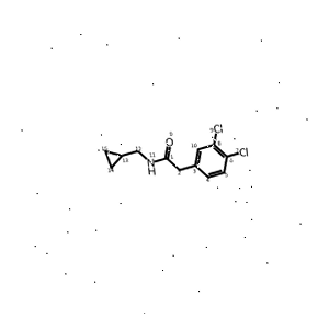 O=C(Cc1ccc(Cl)c(Cl)c1)NCC1CC1